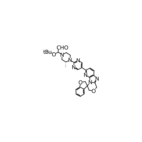 C[C@@H]1CN(C(C=O)OC(C)(C)C)CCN1c1ncc(-c2ccc3nc4n(c3n2)C2(COC4)COc3ccccc32)cn1